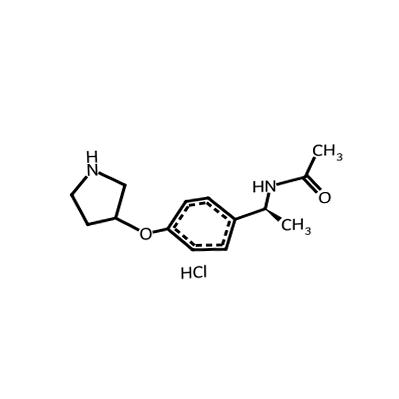 CC(=O)N[C@@H](C)c1ccc(OC2CCNC2)cc1.Cl